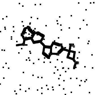 CNC1CC(N)(c2ncc3c(-c4ccc5ncnc(OC)c5c4)ccn3n2)C1